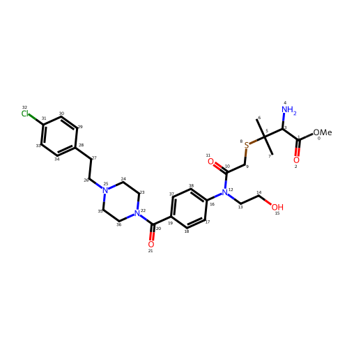 COC(=O)C(N)C(C)(C)SCC(=O)N(CCO)c1ccc(C(=O)N2CCN(CCc3ccc(Cl)cc3)CC2)cc1